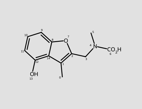 Cc1c(CN(C)C(=O)O)oc2cccc(O)c12